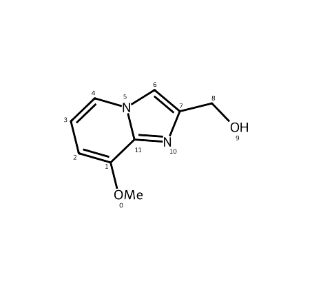 COc1cccn2cc(CO)nc12